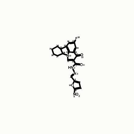 O=C(N/N=C/c1ccc([N+](=O)[O-])o1)c1cn2c3c(cc(F)cc3c1=O)C1CCCCC12